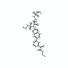 CCCNC(=O)c1cccc(-c2ccc3nc(C(C(=O)NCCS(N)(=O)=O)S(=O)(=O)CCC)sc3c2)c1